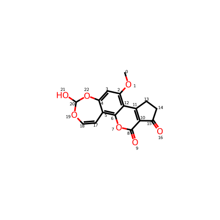 COc1cc2c(c3oc(=O)c4c(c13)CCC4=O)C=COC(O)O2